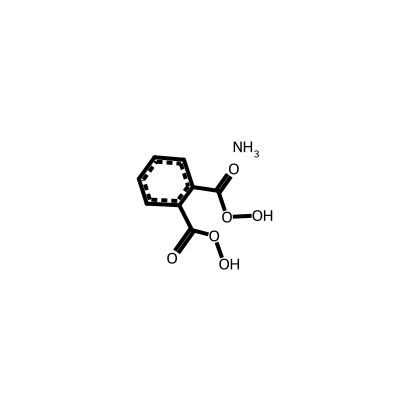 N.O=C(OO)c1ccccc1C(=O)OO